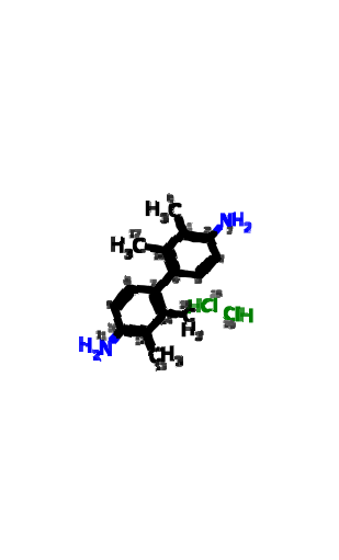 Cc1c(N)ccc(-c2ccc(N)c(C)c2C)c1C.Cl.Cl